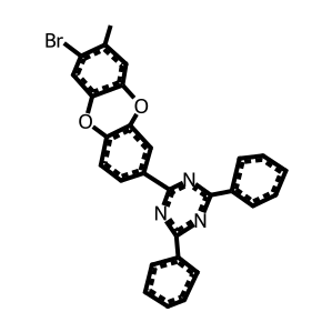 Cc1cc2c(cc1Br)Oc1ccc(-c3nc(-c4ccccc4)nc(-c4ccccc4)n3)cc1O2